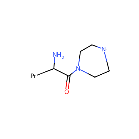 CC(C)C(N)C(=O)N1CC[N]CC1